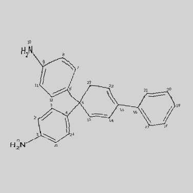 Nc1ccc(C2(c3ccc(N)cc3)C=CC(c3ccccc3)=CC2)cc1